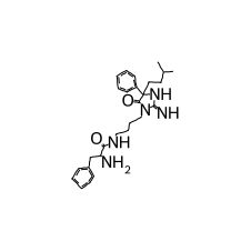 CC(C)CCC1(c2ccccc2)NC(=N)N(CCCCNC(=O)[C@@H](N)Cc2ccccc2)C1=O